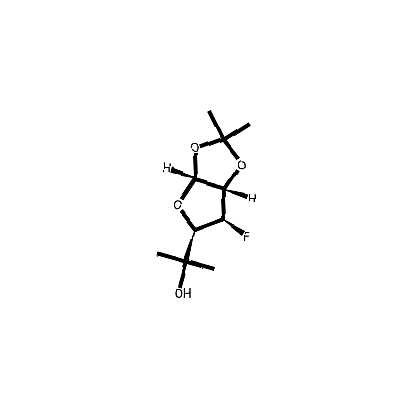 CC1(C)O[C@H]2O[C@H](C(C)(C)O)[C@H](F)[C@H]2O1